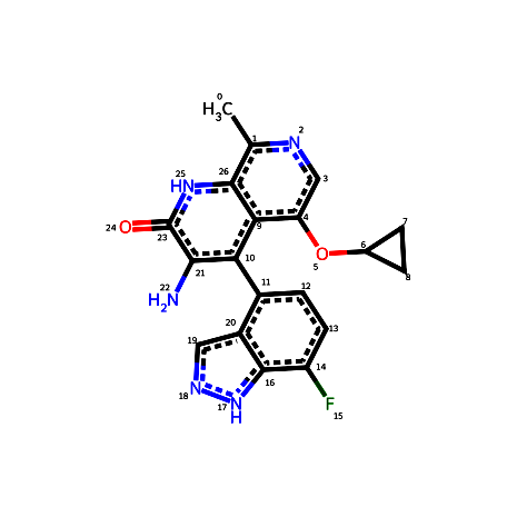 Cc1ncc(OC2CC2)c2c(-c3ccc(F)c4[nH]ncc34)c(N)c(=O)[nH]c12